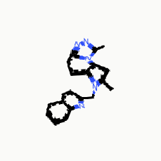 Cc1cc2c(ccc3nnc(C)n32)n1Cc1ccc2ccccc2n1